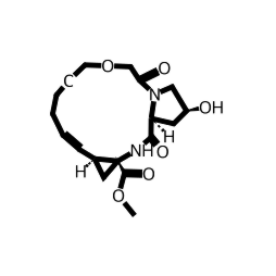 COC(=O)[C@@]12C[C@H]1/C=C\CCCCOCC(=O)N1C[C@@H](O)C[C@H]1C(=O)N2